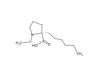 CCCCCC[C@@]1(C(=O)O)CCCN1CC